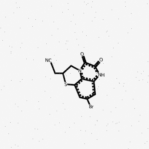 N#CCC1Cn2c(=O)c(=O)[nH]c3cc(Br)cc(c32)S1